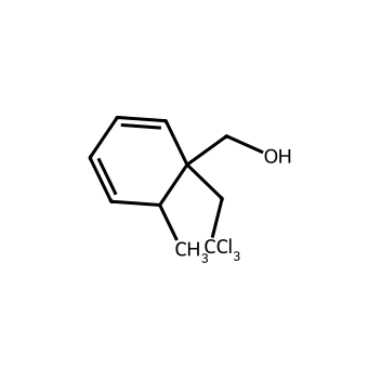 CC1C=CC=CC1(CO)CC(Cl)(Cl)Cl